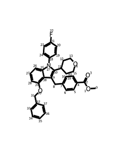 COC(=O)c1ccc(Cc2c(C3CCOCC3)n(-c3ccc(F)cc3)c3cccc(OCc4ccccc4)c23)cc1